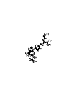 CC(C)C(=O)Nc1nc2c(ncn2[C@@H]2O[C@H](COP(OCCC#N)N(C(C)C)C(C)C)C[C@H]2F)c(=O)[nH]1